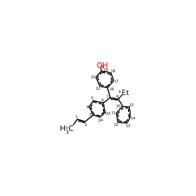 C/C=C/c1ccc(/C(=C(/CC)c2ccccc2)c2ccc(O)cc2)cc1